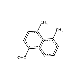 Cc1cccc2c([C]=O)ccc(C)c12